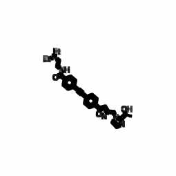 CCN(CC)CCNC(=O)c1ccc(C#Cc2ccc(-c3cc(Cn4ccnc4[C@H](C)O)no3)cc2)cc1